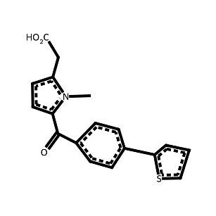 Cn1c(CC(=O)O)ccc1C(=O)c1ccc(-c2cccs2)cc1